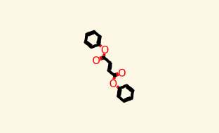 O=C(C=CC(=O)Oc1ccccc1)Oc1ccccc1